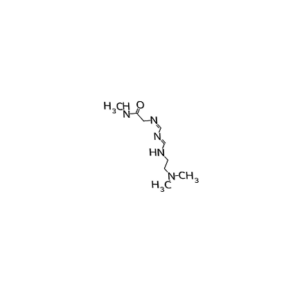 CNC(=O)C/N=C\N=C\NCCN(C)C